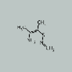 C=NSC(C)=C(C)N